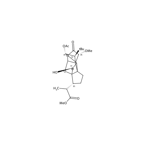 COC(=O)C(C)[C@H]1CCC23C4O[C@H](O)C12OC1OC(=O)[C@H](OC)C13[C@H](C(C)(C)C)[C@H]4OC(C)=O